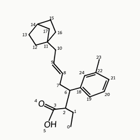 CCC(C(=O)O)C(CC=CCC12CCC(CC1)C2)c1cccc(C)c1